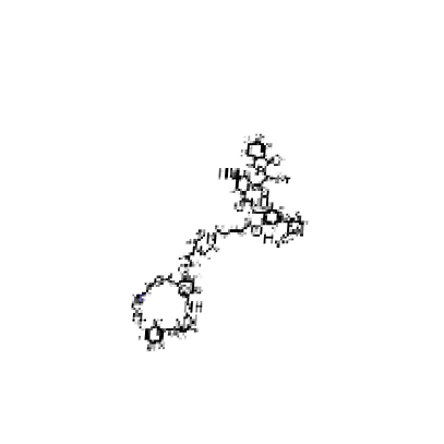 Cc1ncsc1-c1ccc(CNC(=O)[C@@H]2C[C@@H](O)CN2C(=O)[C@H](C(C)C)N2Cc3ccccc3C2=O)c(OCCCCCN2CCN(CCOc3ccc4cc3COC/C=C/COCc3cccc(c3)-c3ccnc(n3)N4)CC2)c1